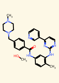 CO.Cc1ccc(NC(=O)c2ccc(CN3CCN(C)CC3)cc2)cc1Nc1nccc(-c2cccnc2)n1